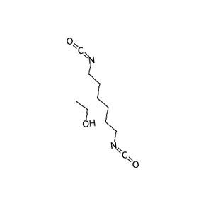 CCO.O=C=NCCCCCCN=C=O